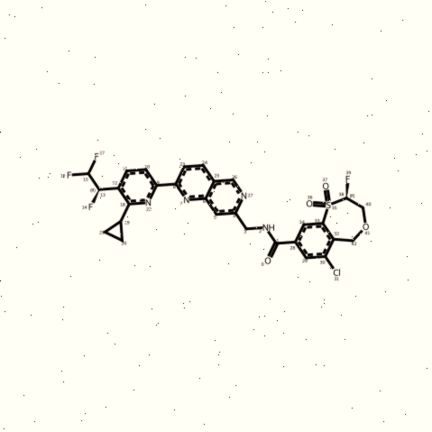 O=C(NCc1cc2nc(-c3ccc([C@@H](F)C(F)F)c(C4CC4)n3)ccc2cn1)c1cc(Cl)c2c(c1)S(=O)(=O)[C@@H](F)COC2